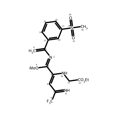 C=C(/N=C(OC)/C(=C/C(=N)C(F)(F)F)NCC(=O)OCC)c1cccc(S(C)(=O)=O)c1